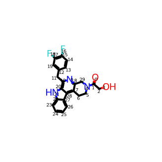 O=C(CO)N1CCc2c(nc(Cc3ccc(F)c(F)c3)c3[nH]c4ccccc4c23)C1